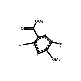 COC(=O)c1cc(Br)c(OC)cc1I